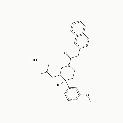 COc1cccc(C2(O)CCN(C(=O)Cc3ccc4ccccc4c3)CC2CN(C)C)c1.Cl